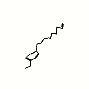 C=CCCCCCCCc1ccc(CC)cc1